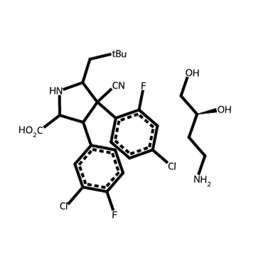 CC(C)(C)CC1NC(C(=O)O)C(c2ccc(F)c(Cl)c2)C1(C#N)c1ccc(Cl)cc1F.NCC[C@H](O)CO